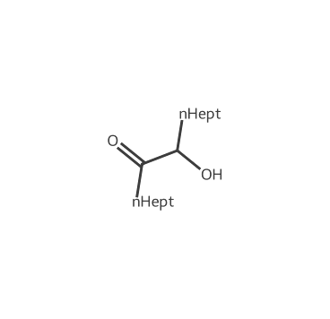 CCCCCCCC(=O)C(O)CCCCCCC